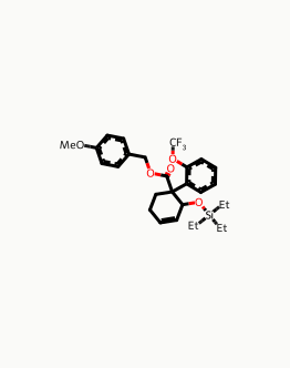 CC[Si](CC)(CC)OC1C=CCCC1(C(=O)OCc1ccc(OC)cc1)c1ccccc1OC(F)(F)F